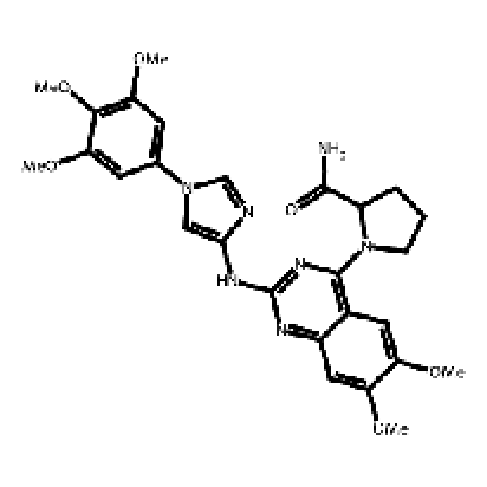 COc1cc2nc(Nc3cn(-c4cc(OC)c(OC)c(OC)c4)cn3)nc(N3CCCC3C(N)=O)c2cc1OC